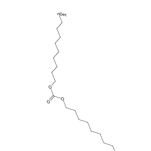 CCCCCCCCCCCCCCCCCCCOC(=O)OCCCCCCCCCCCCCCCCCCC